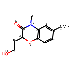 CNc1ccc2c(c1)N(C)C(=O)C(CCO)O2